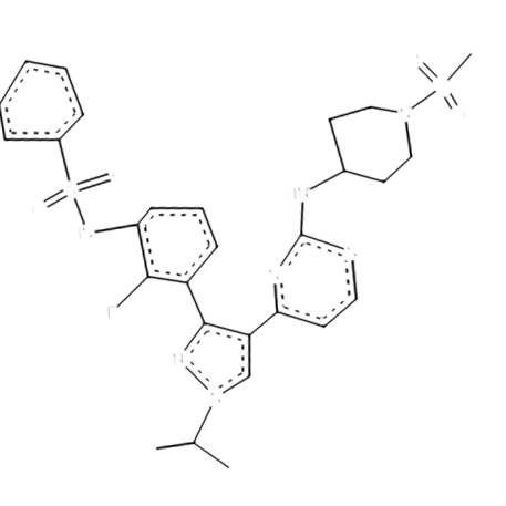 CC(C)n1cc(-c2ccnc(NC3CCN(S(C)(=O)=O)CC3)n2)c(-c2cccc(NS(=O)(=O)c3ccccc3)c2F)n1